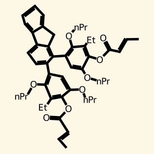 CC=CC(=O)Oc1c(OCCC)cc(-c2ccc3c(c2-c2cc(OCCC)c(OC(=O)C=CC)c(CC)c2OCCC)Cc2ccccc2-3)c(OCCC)c1CC